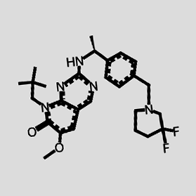 COc1cc2cnc(N[C@@H](C)c3ccc(CN4CCCC(F)(F)C4)cc3)nc2n(CC(C)(C)C)c1=O